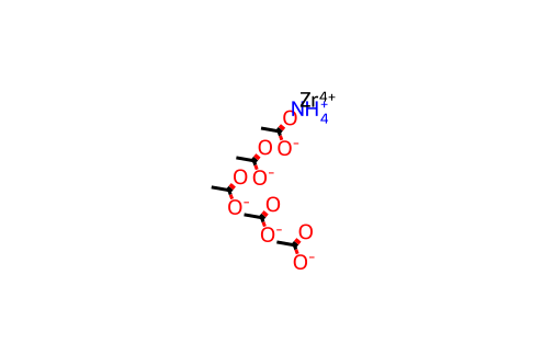 CC(=O)[O-].CC(=O)[O-].CC(=O)[O-].CC(=O)[O-].CC(=O)[O-].[NH4+].[Zr+4]